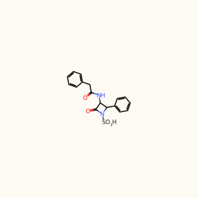 O=C(Cc1ccccc1)NC1C(=O)N(S(=O)(=O)O)C1c1ccccc1